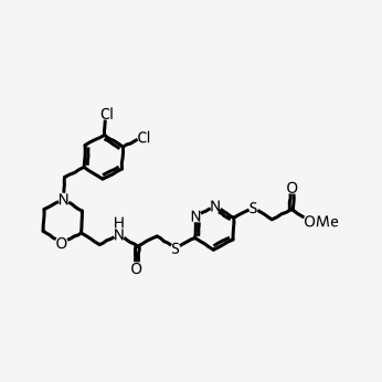 COC(=O)CSc1ccc(SCC(=O)NCC2CN(Cc3ccc(Cl)c(Cl)c3)CCO2)nn1